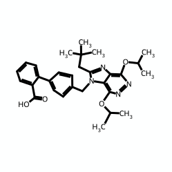 CC(C)Oc1nnc(OC(C)C)c2c1nc(CC(C)(C)C)n2Cc1ccc(-c2ccccc2C(=O)O)cc1